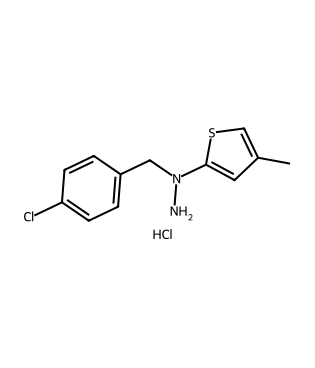 Cc1csc(N(N)Cc2ccc(Cl)cc2)c1.Cl